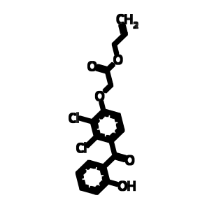 C=CCOC(=O)COc1ccc(C(=O)c2ccccc2O)c(Cl)c1Cl